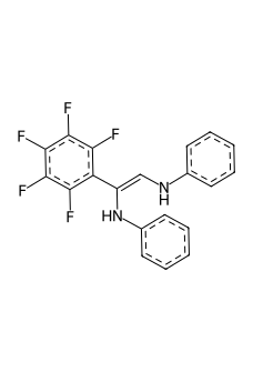 Fc1c(F)c(F)c(/C(=C/Nc2ccccc2)Nc2ccccc2)c(F)c1F